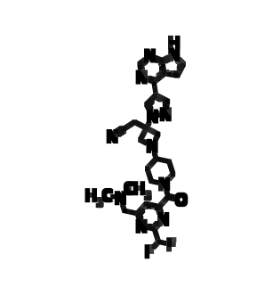 CN(C)Cc1cc(C(=O)N2CCC(N3CC(CC#N)(n4cc(-c5ncnc6[nH]ccc56)cn4)C3)CC2)nc(C(F)F)n1